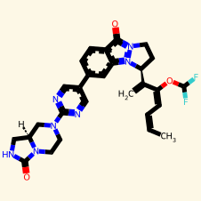 C=C(/C(=C\C=C/C)OC(F)F)[C@@H]1CCn2c(=O)c3ccc(-c4cnc(N5CCN6C(=O)NC[C@H]6C5)nc4)cc3n21